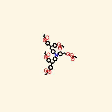 C=CC(=O)OCOCCc1ccc(N(c2ccc(C=C(c3ccc(OC(=O)C=C)cc3)c3ccc(OC(=O)C=C)cc3)cc2)c2ccc(C=C(c3ccc(OC(=O)C=C)cc3)c3ccc(OC(=O)C=C)cc3)cc2)cc1